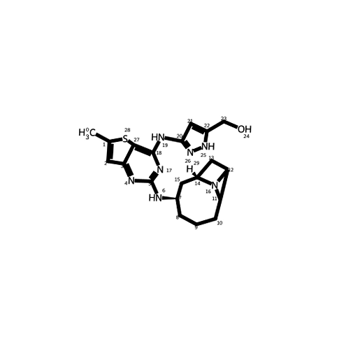 Cc1cc2nc(N[C@@H]3CCCC4C5C[C@@H](C3)N45)nc(Nc3cc(CO)[nH]n3)c2s1